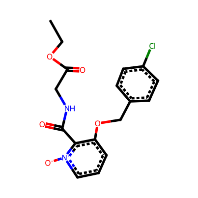 CCOC(=O)CNC(=O)c1c(OCc2ccc(Cl)cc2)ccc[n+]1[O-]